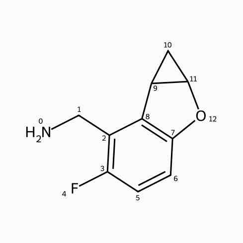 NCc1c(F)ccc2c1C1CC1O2